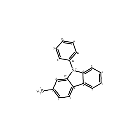 Bc1ccc2c3ccccc3n(-c3ccccc3)c2c1